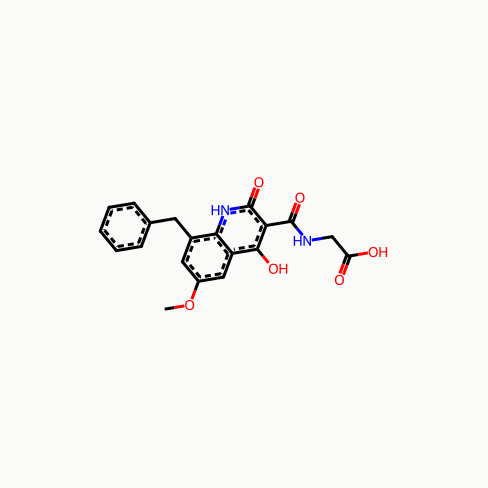 COc1cc(Cc2ccccc2)c2[nH]c(=O)c(C(=O)NCC(=O)O)c(O)c2c1